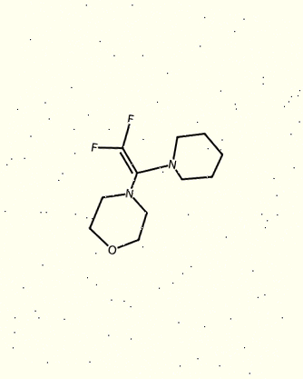 FC(F)=C(N1CCCCC1)N1CCOCC1